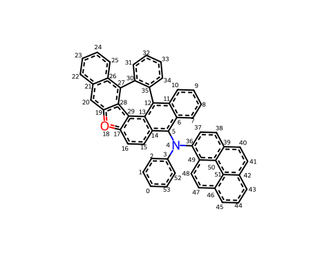 c1ccc(N(c2c3ccccc3c3c4c2ccc2oc5cc6ccccc6c(c5c24)-c2ccccc2-3)c2ccc3ccc4cccc5ccc2c3c45)cc1